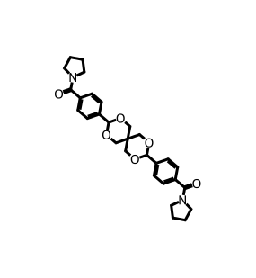 O=C(c1ccc(C2OCC3(CO2)COC(c2ccc(C(=O)N4CCCC4)cc2)OC3)cc1)N1CCCC1